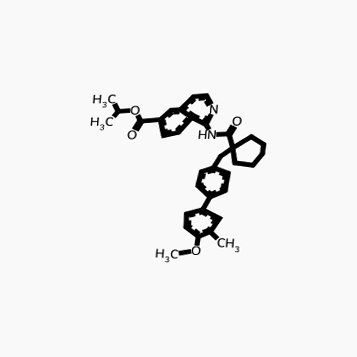 COc1ccc(-c2ccc(CC3(C(=O)Nc4nccc5cc(C(=O)OC(C)C)ccc45)CCCCC3)cc2)cc1C